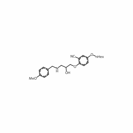 CCCCCCOc1ccc(OCC(O)CNCc2ccc(OC)cc2)c(C#N)c1